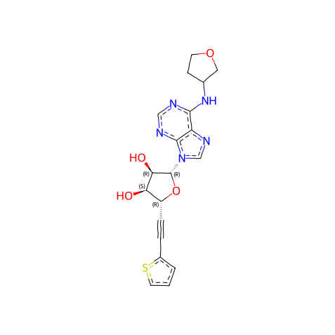 O[C@@H]1[C@H](O)[C@@H](C#Cc2cccs2)O[C@H]1n1cnc2c(NC3CCOC3)ncnc21